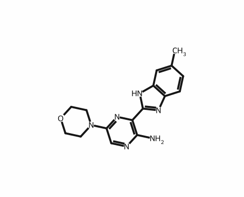 Cc1ccc2nc(-c3nc(N4CCOCC4)cnc3N)[nH]c2c1